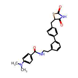 CN(C)c1ccc(C(=O)NCCc2cccc(-c3ccc(CC4SC(=O)NC4=O)cc3)c2)cc1